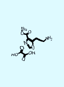 CC(C)(C)OC(=O)c1ncoc1CCN.O=C(O)C(=O)O